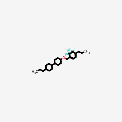 CCCC1=CC=C(COC2CCC(C3CCC(CCC)CC3)CC2)C(F)(F)C1(F)F